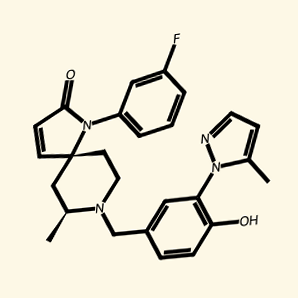 Cc1ccnn1-c1cc(CN2CC[C@]3(C=CC(=O)N3c3cccc(F)c3)C[C@@H]2C)ccc1O